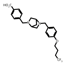 O=C(O)c1ccc(CN2CC3CC2CN3Cc2ccc(OCCCC(F)(F)F)cc2)cc1